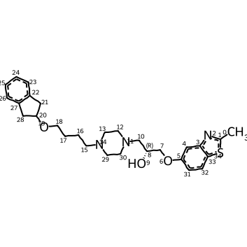 Cc1nc2cc(OC[C@H](O)CN3CCN(CCCCOC4Cc5ccccc5C4)CC3)ccc2s1